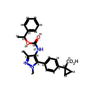 Cc1nn(C)c(-c2ccc(C3(C(=O)O)CC3)cc2)c1NC(=O)OC(C)c1ccccc1